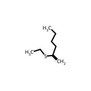 C=C(CCCC)SCC